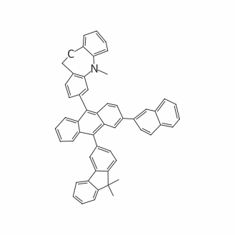 CN1c2ccccc2CCc2ccc(-c3c4ccccc4c(-c4ccc5c(c4)-c4ccccc4C5(C)C)c4cc(-c5ccc6ccccc6c5)ccc34)cc21